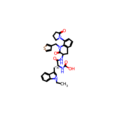 CCn1cc(C[C@@H](NC(=O)O)C(=O)NC2Cc3cccc(N4CCCC4=O)c3N(Cc3ccsc3)C2=O)c2ccccc21